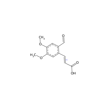 COc1cc(C=O)c(/C=C/C(=O)O)cc1OC